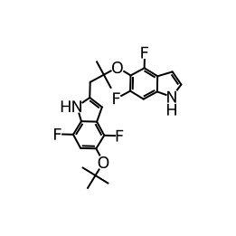 CC(C)(C)Oc1cc(F)c2[nH]c(CC(C)(C)Oc3c(F)cc4[nH]ccc4c3F)cc2c1F